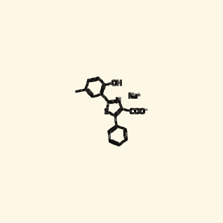 Cc1ccc(O)c(-c2nc(C(=O)[O-])c(-c3ccccc3)s2)c1.[Na+]